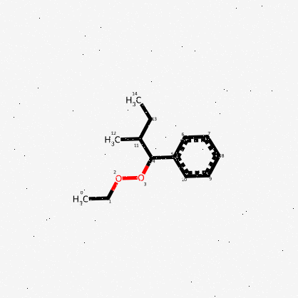 CCOOC(c1ccccc1)C(C)CC